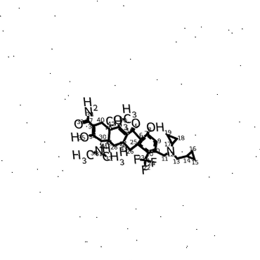 COC1=C2C(=O)c3c(O)cc(CN(CC4CC4)C4CC4)c(C(F)(F)F)c3C[C@H]2C[C@H]2[C@H](N(C)C)C(O)=C(C(N)=O)C[C@@]12C